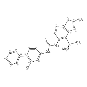 CO[C@H](C)c1c(NC(=O)Nc2ccc(-c3cnccn3)c(Cl)c2)cnc2sc(C)nc12